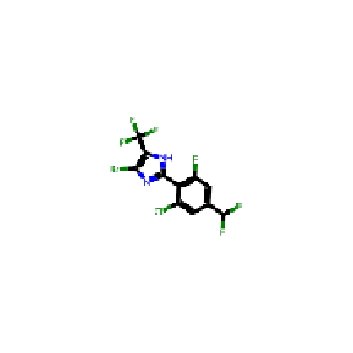 Fc1cc(C(F)F)cc(Cl)c1-c1nc(Br)c(C(F)(F)F)[nH]1